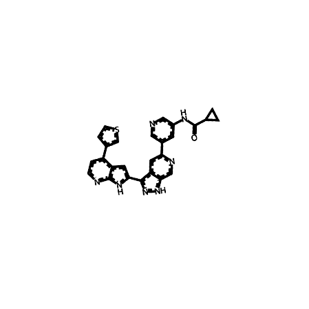 O=C(Nc1cncc(-c2cc3c(-c4cc5c(-c6ccsc6)ccnc5[nH]4)n[nH]c3cn2)c1)C1CC1